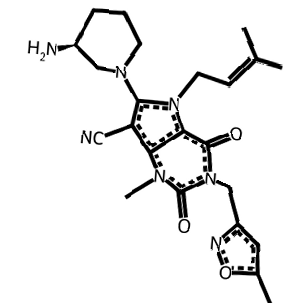 CC(C)=CCn1c(N2CCC[C@H](N)C2)c(C#N)c2c1c(=O)n(Cc1cc(C)on1)c(=O)n2C